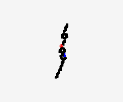 CCCCCCCCCCc1ccc(-c2ccc(OCC=C[C@H]3CC[C@H](CCCCC)CC3)cc2)nc1